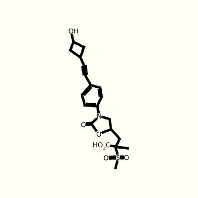 CC(CC1CN(c2ccc(C#CC3CC(O)C3)cc2)C(=O)O1)(C(=O)O)S(C)(=O)=O